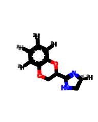 [2H]c1c([2H])c([2H])c2c(c1[2H])OCC(C1=N[C@@H]([2H])CN1)O2